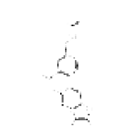 Cc1c(C(C)(C)C)[nH]c2ccc(CC(C)c3cccc(CNC(=O)OC(C)(C)C)c3)cc12